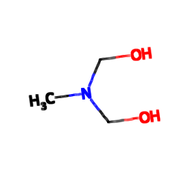 CN(CO)CO